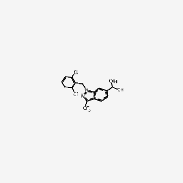 OC(O)c1ccc2c(C(F)(F)F)nn(CC3=C(Cl)C=CCC3Cl)c2c1